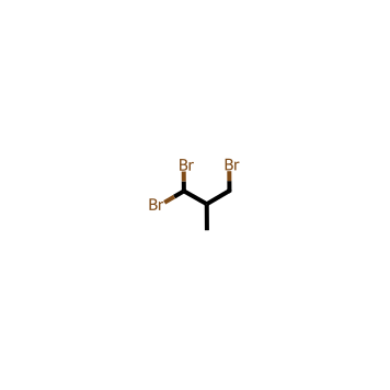 CC(CBr)C(Br)Br